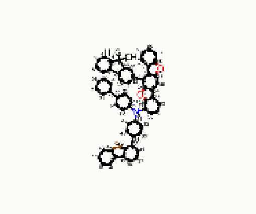 CC1(C)c2ccccc2-c2ccc(-c3c4oc5c(N(c6ccc(-c7ccccc7)cc6)c6ccc(-c7cccc8c7sc7ccccc78)cc6)cccc5c4cc4oc5ccccc5c34)cc21